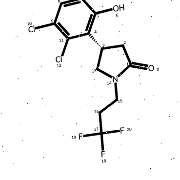 O=C1C[C@@H](c2c(O)ccc(Cl)c2Cl)CN1CCC(F)(F)F